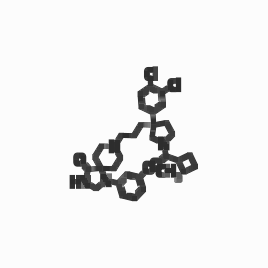 COc1cccc(N2CNC(=O)C23CCN(CCCC2(c4ccc(Cl)c(Cl)c4)CCN(C(=O)C4CCC4)C2)CC3)c1